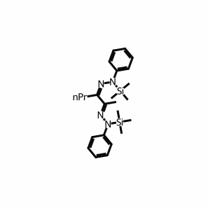 CCCC(=NN(c1ccccc1)[Si](C)(C)C)C(C)=NN(c1ccccc1)[Si](C)(C)C